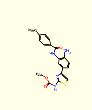 COc1ccc(C(=O)Nc2cc(-c3csc(NC(=O)OC(C)(C)C)n3)ccc2N)cc1